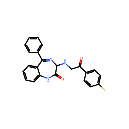 O=C(CNC1N=C(c2ccccc2)c2ccccc2NC1=O)c1ccc(F)cc1